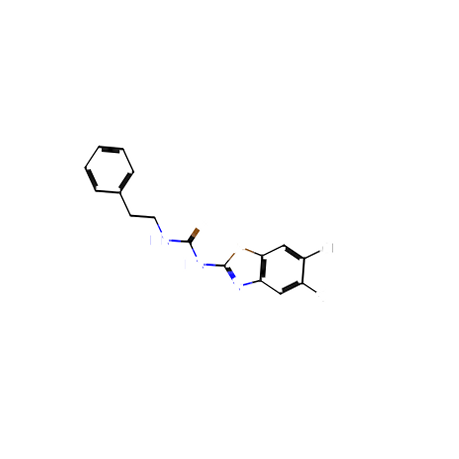 Cc1cc2nc(NC(=S)NCCc3ccccc3)sc2cc1C